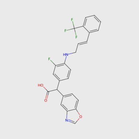 O=C(O)C(c1ccc(NCC=Cc2ccccc2C(F)(F)F)c(F)c1)c1ccc2ocnc2c1